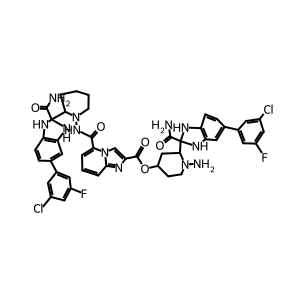 NC(=O)C1(C2CC(OC(=O)c3cn4c(C(=O)NN5CCCCC5C5(C(N)=O)Nc6ccc(-c7cc(F)cc(Cl)c7)cc6N5)cccc4n3)CCN2N)Nc2ccc(-c3cc(F)cc(Cl)c3)cc2N1